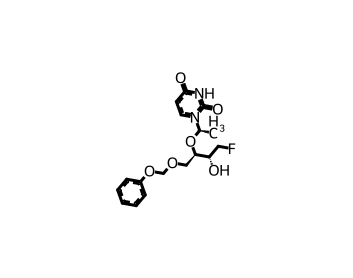 C[C@@H](O[C@H](COCOc1ccccc1)[C@@H](O)CF)n1ccc(=O)[nH]c1=O